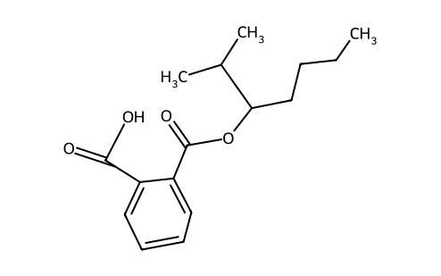 CCCCC(OC(=O)c1ccccc1C(=O)O)C(C)C